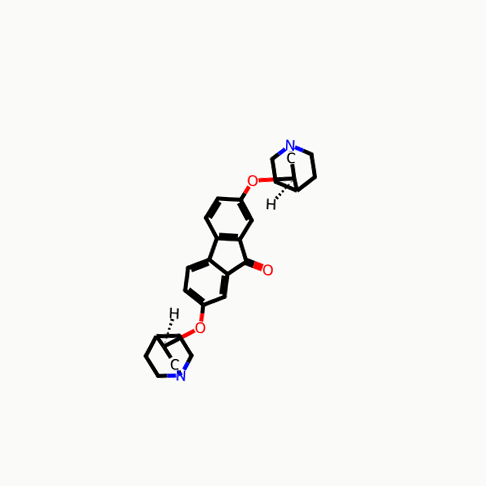 O=C1c2cc(O[C@H]3CN4CCC3CC4)ccc2-c2ccc(O[C@H]3CN4CCC3CC4)cc21